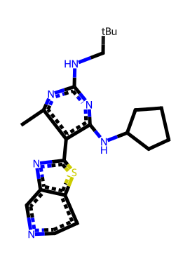 Cc1nc(NCC(C)(C)C)nc(NC2CCCC2)c1-c1nc2cnccc2s1